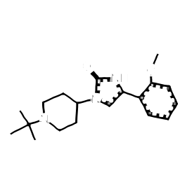 COc1ccccc1-c1cn(C2CCN(C(C)(C)C)CC2)c(=O)[nH]1